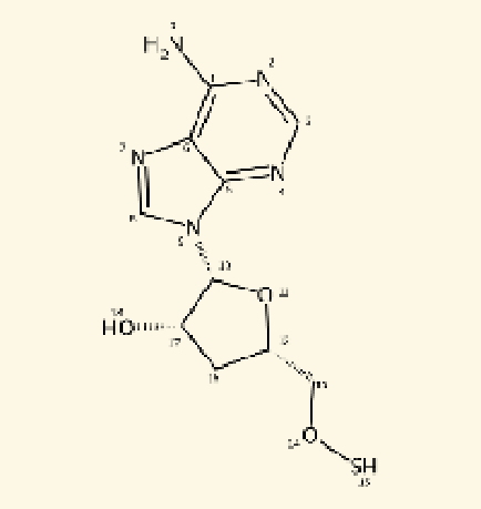 Nc1ncnc2c1ncn2[C@@H]1O[C@H](COS)C[C@@H]1O